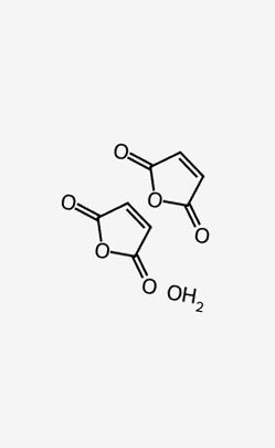 O.O=C1C=CC(=O)O1.O=C1C=CC(=O)O1